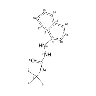 CC(C)(C)OC(=O)NNc1cccc2ccccc12